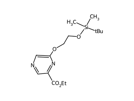 CCOC(=O)c1cncc(OCCO[Si](C)(C)C(C)(C)C)n1